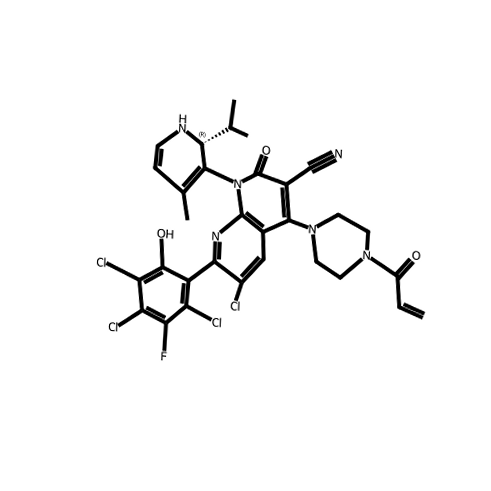 C=CC(=O)N1CCN(c2c(C#N)c(=O)n(C3=C(C)C=CN[C@@H]3C(C)C)c3nc(-c4c(O)c(Cl)c(Cl)c(F)c4Cl)c(Cl)cc23)CC1